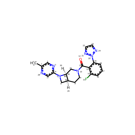 Cc1cnc(N2C[C@@H]3CCN(C(=O)c4c(F)cccc4-n4nccn4)C[C@@H]32)cn1